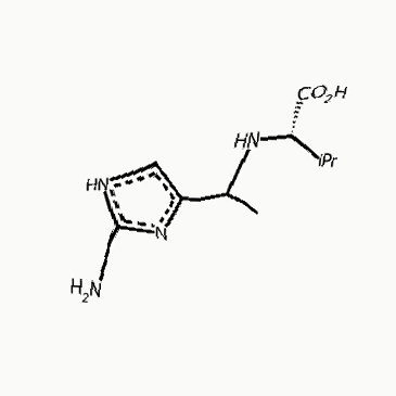 CC(N[C@H](C(=O)O)C(C)C)c1c[nH]c(N)n1